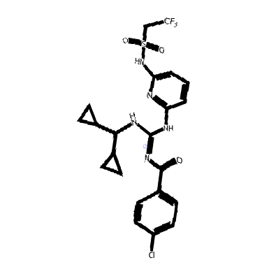 O=C(/N=C(\Nc1cccc(NS(=O)(=O)CC(F)(F)F)n1)NC(C1CC1)C1CC1)c1ccc(Cl)cc1